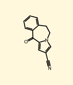 N#Cc1cc2n(c1)CCc1ccccc1C2=O